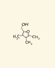 Cc1oc(CO)c(C)c1C